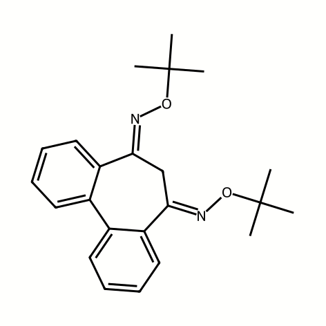 CC(C)(C)ON=C1CC(=NOC(C)(C)C)c2ccccc2-c2ccccc21